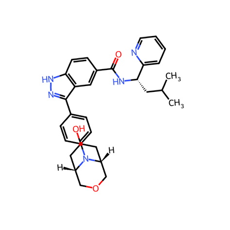 CC(C)C[C@H](NC(=O)c1ccc2[nH]nc(-c3ccc(N4[C@@H]5COC[C@H]4CC(O)C5)cc3)c2c1)c1ccccn1